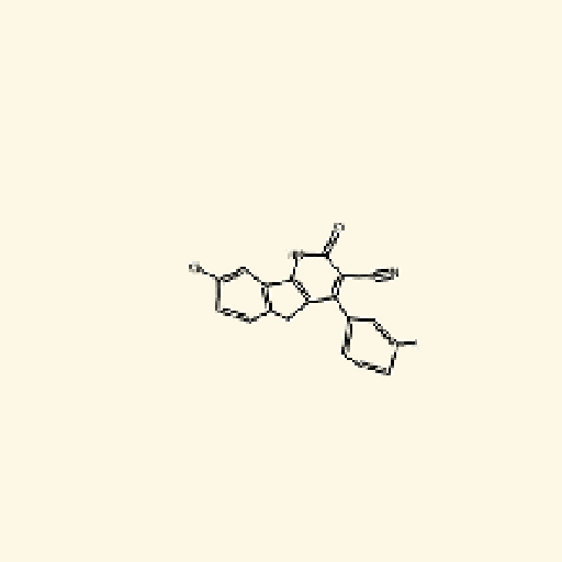 N#Cc1c(-c2cccc(I)c2)c2c([nH]c1=O)-c1cc(Cl)ccc1C2